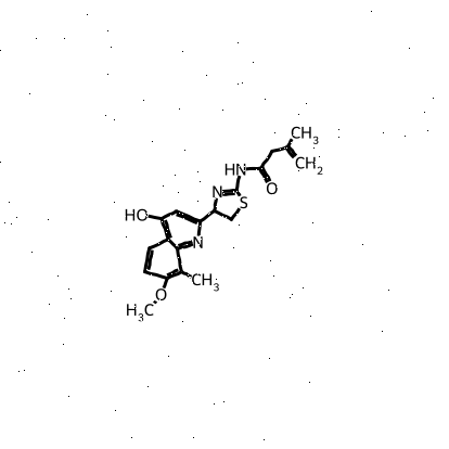 C=C(C)CC(=O)NC1=NC(c2cc(O)c3ccc(OC)c(C)c3n2)CS1